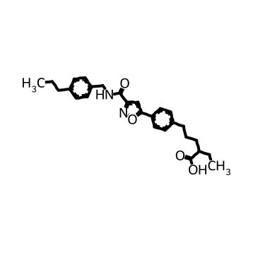 CCCc1ccc(CNC(=O)c2cc(-c3ccc(CCCC(CC)C(=O)O)cc3)on2)cc1